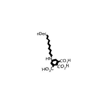 CCCCCCCCCCCCCCCCCCCNc1cc(C(=O)O)c(C(=O)O)c(C(=O)O)c1